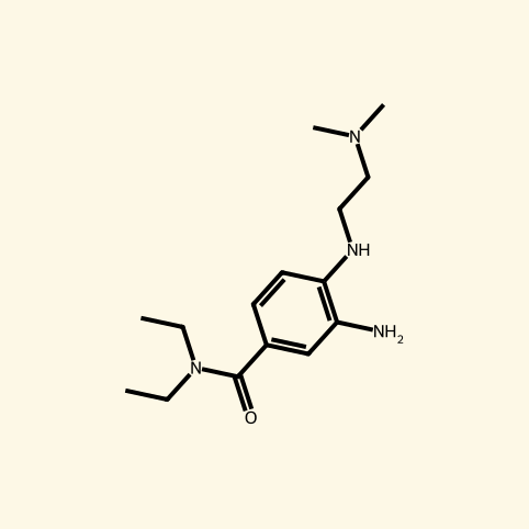 CCN(CC)C(=O)c1ccc(NCCN(C)C)c(N)c1